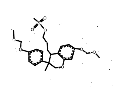 COCOc1ccc(C2(C)COc3cc(OCOC)ccc3C2CCCOS(C)(=O)=O)cc1